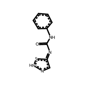 O=C(N=c1cn[nH]s1)Nc1ccccc1